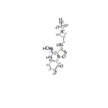 NS(=O)(=O)N1CC(CNc2nonc2/C(=N/O)Nc2ccc(F)c(Cl)c2)C1